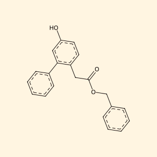 O=C(Cc1ccc(O)cc1-c1ccccc1)OCc1ccccc1